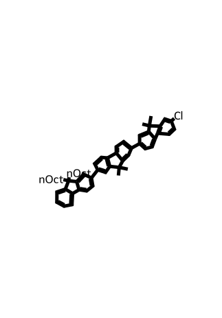 CCCCCCCCC1(CCCCCCCC)c2ccccc2-c2ccc(-c3ccc4c(c3)C(C)(C)c3cc(-c5ccc6c(c5)C(C)(C)c5cc(Cl)ccc5-6)ccc3-4)cc21